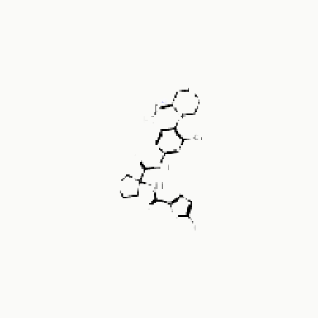 N#C/N=C1/COCCN1c1ccc(NC(=O)C2(NC(=O)c3ccc(Cl)s3)CCOC2)cc1Br